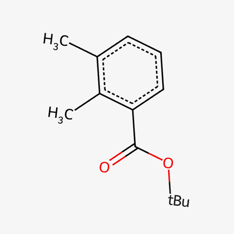 Cc1cccc(C(=O)OC(C)(C)C)c1C